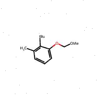 COCOc1cccc(C)c1C(C)(C)C